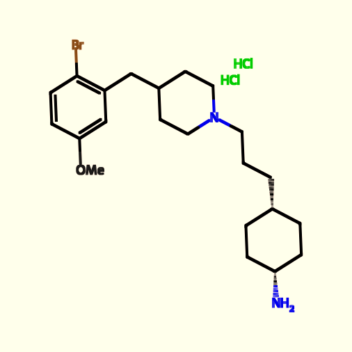 COc1ccc(Br)c(CC2CCN(CCC[C@H]3CC[C@@H](N)CC3)CC2)c1.Cl.Cl